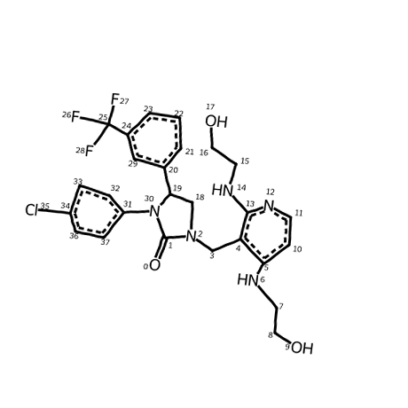 O=C1N(Cc2c(NCCO)ccnc2NCCO)CC(c2cccc(C(F)(F)F)c2)N1c1ccc(Cl)cc1